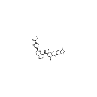 C=CC(=O)N1CCN(c2ccc3ncnc(Nc4cc(F)c(Oc5ccc6c(c5)nnn6C)c(C)c4F)c3n2)C[C@H]1C